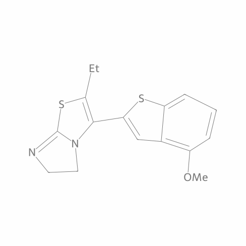 CCC1=C(c2cc3c(OC)cccc3s2)N2CCN=C2S1